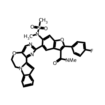 CNC(=O)c1c(-c2ccc(F)cc2)oc2cc(N(C)S(C)(=O)=O)c(-c3ncc4c(n3)-c3cc5ccccc5n3CCO4)cc12